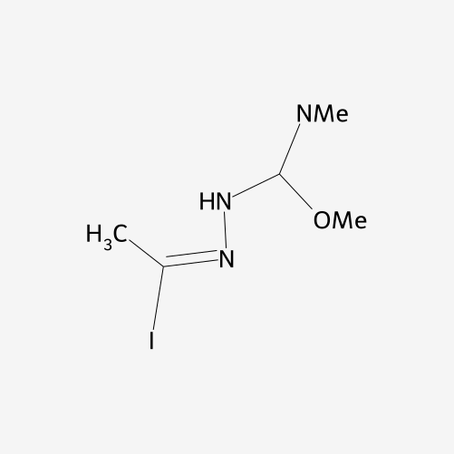 CNC(N/N=C(\C)I)OC